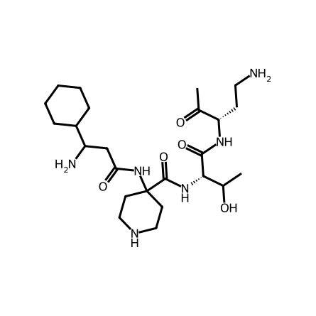 CC(=O)[C@H](CCN)NC(=O)[C@@H](NC(=O)C1(NC(=O)CC(N)C2CCCCC2)CCNCC1)C(C)O